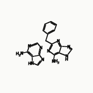 Nc1nc(Cc2ccccc2)nc2nc[nH]c12.Nc1ncnc2nc[nH]c12